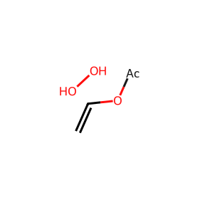 C=COC(C)=O.OO